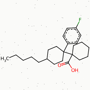 CCCCCC1CCC(c2ccc(F)cc2)(C2(C(=O)O)CCCCC2)CC1